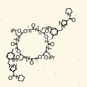 CC(C)C[C@H]1C(=O)O[C@H](Cc2cccc(Cn3cc(C(=O)N4CCCC4)cn3)c2)C(=O)N(C)[C@@H](CC(C)C)C(=O)O[C@H](C)C(=O)N(C)[C@@H](CC(C)C)C(=O)O[C@H](Cc2ccc(Cn3cc(C(=O)N4CCCC4)cn3)cc2)C(=O)N(C)[C@@H](CC(C)C)C(=O)O[C@H](C)C(=O)N1C